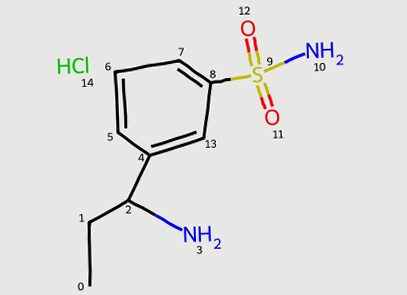 CCC(N)c1cccc(S(N)(=O)=O)c1.Cl